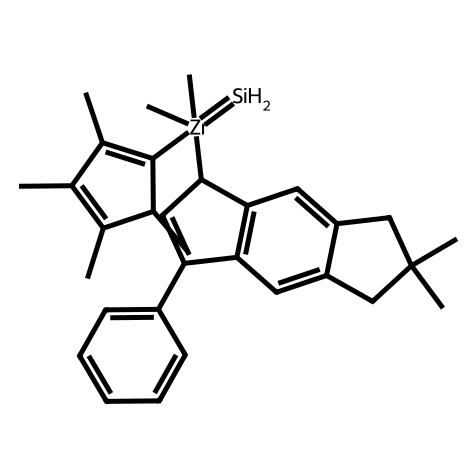 CC1=C(C)C(C)[C]([Zr]([CH3])([CH3])(=[SiH2])[CH]2C=C(c3ccccc3)c3cc4c(cc32)CC(C)(C)C4)=C1C